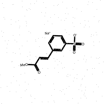 COC(=O)C=Cc1cccc(S(=O)(=O)[O-])c1.[Na+]